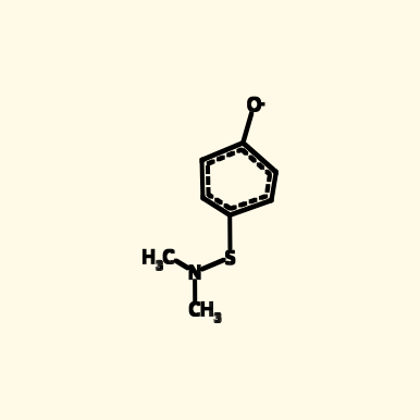 CN(C)Sc1ccc([O])cc1